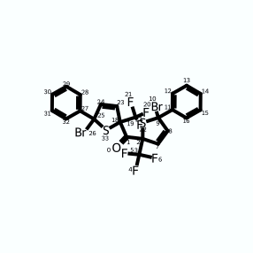 O=C(C1(C(F)(F)F)C=CC(Br)(c2ccccc2)S1)C1(C(F)(F)F)C=CC(Br)(c2ccccc2)S1